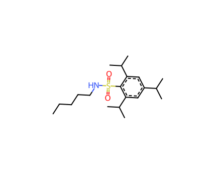 CCCCCNS(=O)(=O)c1c(C(C)C)cc(C(C)C)cc1C(C)C